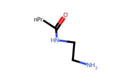 [CH2]CCC(=O)NCCN